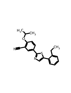 CCc1ccccc1-c1cnc(-c2ccc(OC(C)C)c(C#N)c2)s1